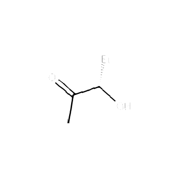 CC[C@H](O)C(C)=O